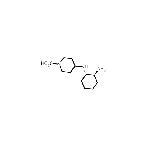 N[C@H]1CCCC[C@@H]1NC1CCN(C(=O)O)CC1